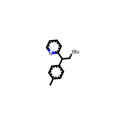 Cc1ccc(C(CC(C)(C)C)c2ccccn2)cc1